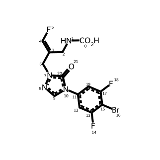 O=C(O)NC/C(=C\F)Cn1ncn(-c2cc(F)c(Br)c(F)c2)c1=O